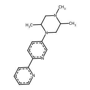 CC1CN(c2ccc(-c3ccccn3)nc2)C(C)CN1C